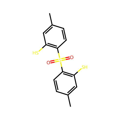 Cc1ccc(S(=O)(=O)c2ccc(C)cc2S)c(S)c1